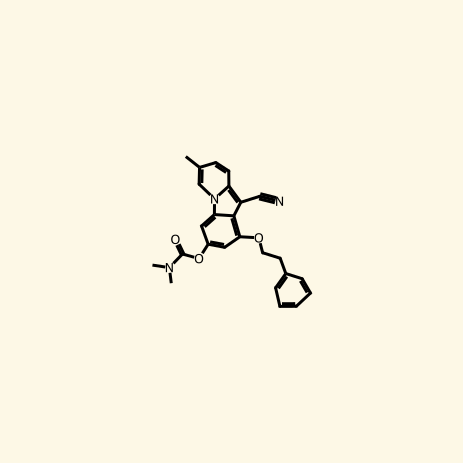 Cc1ccc2c(C#N)c3c(OCCc4ccccc4)cc(OC(=O)N(C)C)cc3n2c1